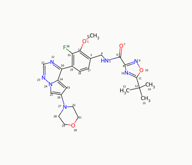 COc1c(CNC(=O)c2noc(C(C)(C)C)n2)ccc(-c2ncnn3cc(N4CCOCC4)cc23)c1F